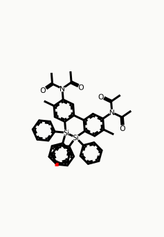 CC(=O)N(C(C)=O)c1cc2c(cc1C)[Si](c1ccccc1)(c1ccccc1)[Si](c1ccccc1)(c1ccccc1)c1cc(C)c(N(C(C)=O)C(C)=O)cc1-2